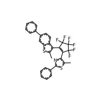 Cc1sc(-c2ccccc2)nc1C1=C(c2c(C)sc3cc(-c4ccccc4)ccc23)C(F)(F)C(F)(F)C1(F)F